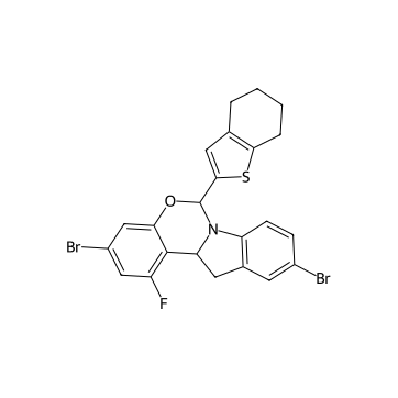 Fc1cc(Br)cc2c1C1Cc3cc(Br)ccc3N1C(c1cc3c(s1)CCCC3)O2